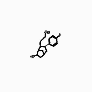 O=CCC[C@@H]1C2CC(CC2O)C[C@H]1c1ccc(F)cc1